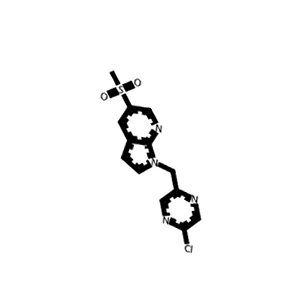 CS(=O)(=O)c1cnc2c(ccn2Cc2cnc(Cl)cn2)c1